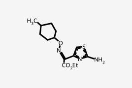 CCOC(=O)C(=NOC1CCC(C)CC1)c1csc(N)n1